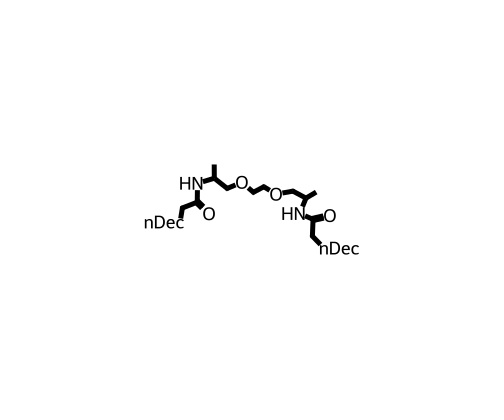 CCCCCCCCCCCC(=O)NC(C)COCCOCC(C)NC(=O)CCCCCCCCCCC